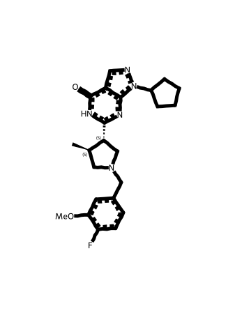 COc1cc(CN2C[C@@H](C)[C@H](c3nc4c(cnn4C4CCCC4)c(=O)[nH]3)C2)ccc1F